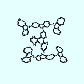 c1ccc2c(c1)c1ccccc1n2-c1ccc2c3ccc(-n4c5ccccc5c5ccccc54)cc3n(-c3cnc4c(c3)c3nccnc3c3cc(-n5c6cc(-n7c8ccccc8c8ccccc87)ccc6c6ccc(-n7c8ccccc8c8ccccc87)cc65)cnc34)c2c1